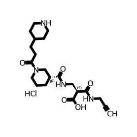 C#CCNC(=O)[C@H](CNC(=O)[C@@H]1CCCN(C(=O)CCC2CCNCC2)C1)C(=O)O.Cl